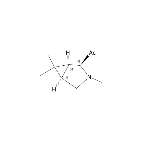 CC(=O)[C@@H]1[C@H]2[C@@H](CN1C)C2(C)C